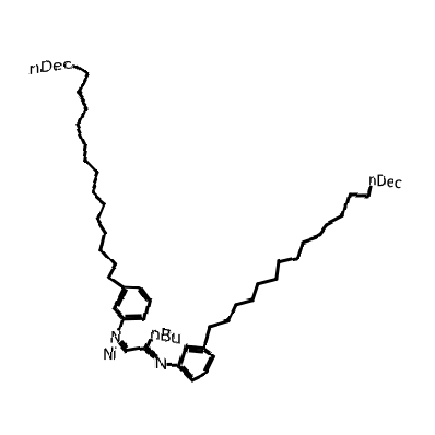 CCCCCCCCCCCCCCCCCCCCCCCCc1cccc(/N=C\C(CCCC)=N\c2cccc(CCCCCCCCCCCCCCCCCCCCCCCC)c2)c1.[Ni]